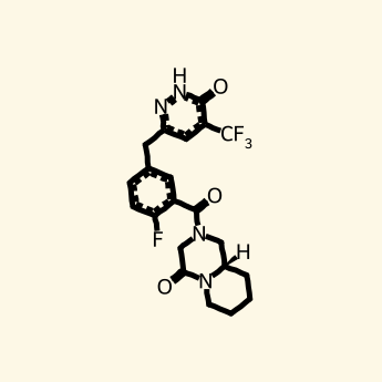 O=C(c1cc(Cc2cc(C(F)(F)F)c(=O)[nH]n2)ccc1F)N1CC(=O)N2CCCC[C@H]2C1